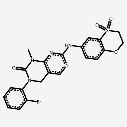 CN1C(=O)N(c2ccccc2Br)Cc2cnc(Nc3ccc4c(c3)S(=O)(=O)CCO4)nc21